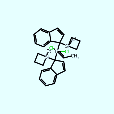 C[CH]=[Ti]([Cl])([Cl])([C]1([Si]2(CC)CCC2)C=Cc2ccccc21)[C]1([Si]2(CC)CCC2)C=Cc2ccccc21